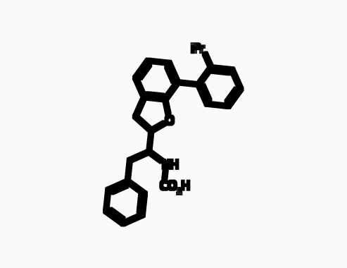 CC(C)c1ccccc1-c1cccc2c1OC(C(Cc1ccccc1)NC(=O)O)C2